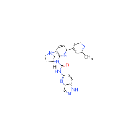 Cc1cc(-c2ccc3c(n2)N(C(=O)Nc2ccc4[nH]ncc4n2)[C@H]2CCN3C2)ccn1